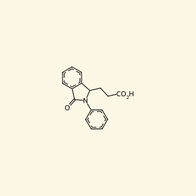 O=C(O)CCC1c2ccccc2C(=O)N1c1ccccc1